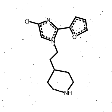 Clc1cn(CCC2CCNCC2)c(-c2ccco2)n1